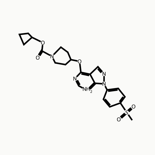 C=c1/c(=C(\N=C/N)OC2CCN(C(=O)OC3CCC3)CC2)cnn1-c1ccc(S(C)(=O)=O)cc1